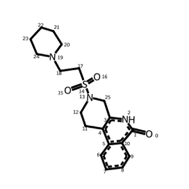 O=c1[nH]c2c(c3ccccc13)CCN(S(=O)(=O)CCN1CCCCC1)C2